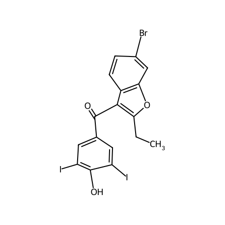 CCc1oc2cc(Br)ccc2c1C(=O)c1cc(I)c(O)c(I)c1